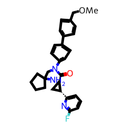 COCc1ccc(-c2ccc(N(CC3(N)CCCC3)C(=O)[C@@H]3C[C@H]3c3cccc(F)n3)cc2)cc1